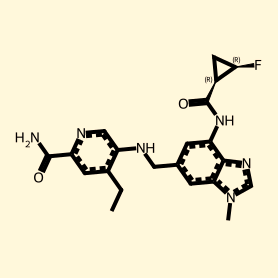 CCc1cc(C(N)=O)ncc1NCc1cc(NC(=O)[C@H]2C[C@H]2F)c2ncn(C)c2c1